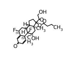 CCCC(=O)O[C@]1(C(=O)CO)CC[C@H]2[C@@H]3C[C@H](F)C4=CC(=O)C=C[C@]4(C)C3(F)[C@@H](O)C[C@@]21C